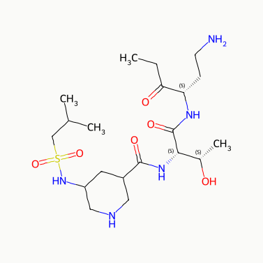 CCC(=O)[C@H](CCN)NC(=O)[C@@H](NC(=O)C1CNCC(NS(=O)(=O)CC(C)C)C1)[C@H](C)O